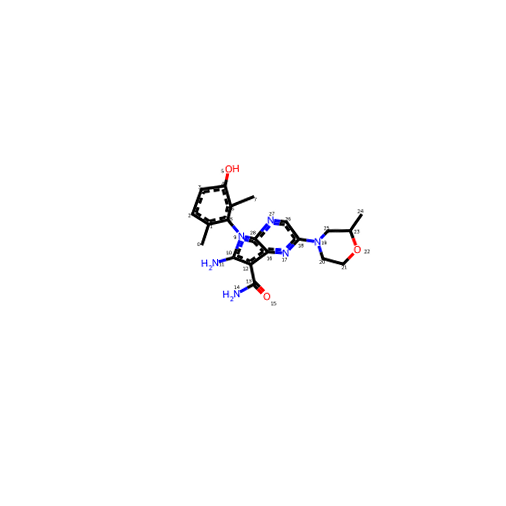 Cc1ccc(O)c(C)c1-n1c(N)c(C(N)=O)c2nc(N3CCOC(C)C3)cnc21